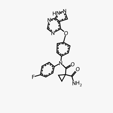 NC(=O)C1(C(=O)N(c2ccc(F)cc2)c2ccc(Oc3ncnc4[nH]ncc34)cc2)CC1